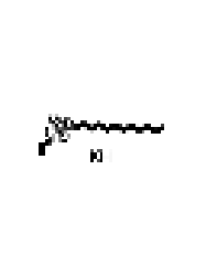 C=CCOS(=O)(=O)OCCCCCCCCCCCC.[KH]